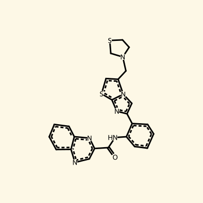 O=C(Nc1ccccc1-c1cn2c(CN3CCSC3)csc2n1)c1cnc2ccccc2n1